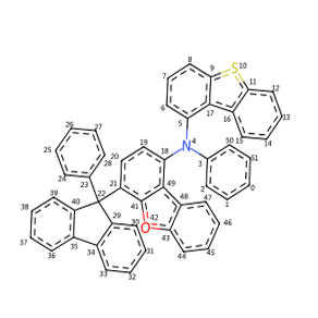 c1ccc(N(c2cccc3sc4ccccc4c23)c2ccc(C3(c4ccccc4)c4ccccc4-c4ccccc43)c3oc4ccccc4c23)cc1